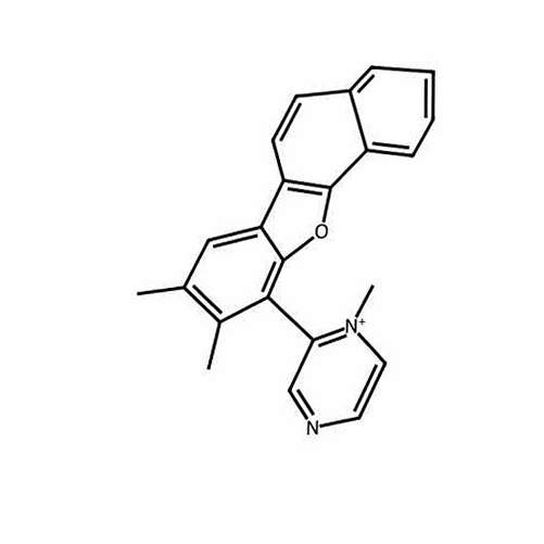 Cc1cc2c(oc3c4ccccc4ccc23)c(-c2cncc[n+]2C)c1C